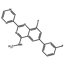 CNc1nc(-c2cnccn2)nc2c(F)cc(-c3cccc(F)c3)cc12